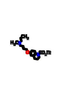 C=CCN(C)CC=CCOc1ccc2c(c1)CCCN2C(=O)OCC